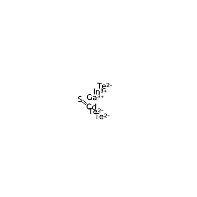 [Ga+3].[In+3].[S]=[Cd].[Te-2].[Te-2].[Te-2]